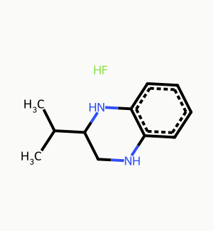 CC(C)C1CNc2ccccc2N1.F